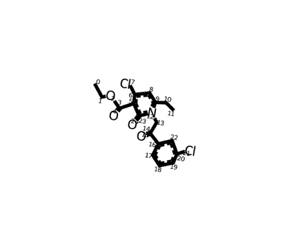 CCOC(=O)c1c(Cl)cc(CC)n(CC(=O)c2cccc(Cl)c2)c1=O